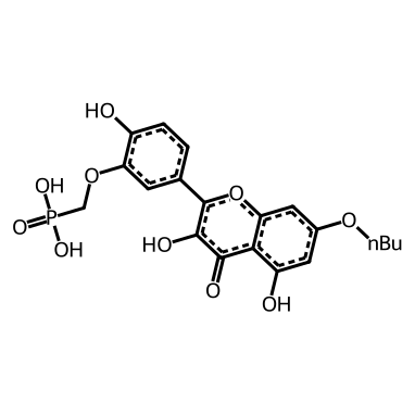 CCCCOc1cc(O)c2c(=O)c(O)c(-c3ccc(O)c(OCP(=O)(O)O)c3)oc2c1